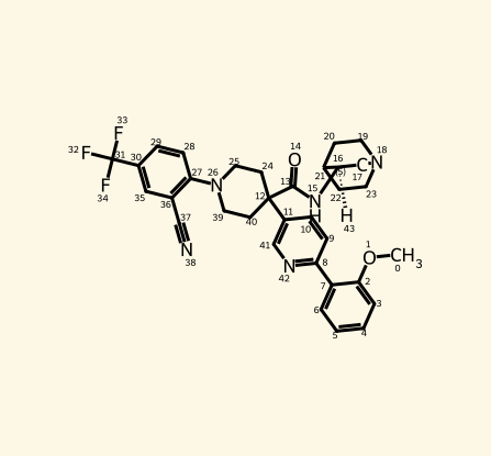 COc1ccccc1-c1ccc(C2(C(=O)N[C@@H]3CN4CCC3CC4)CCN(c3ccc(C(F)(F)F)cc3C#N)CC2)cn1